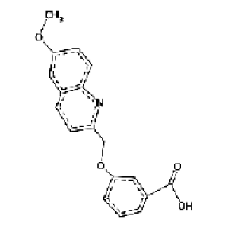 COc1ccc2nc(COc3cccc(C(=O)O)c3)ccc2c1